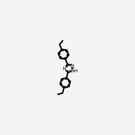 CCc1ccc(-c2n[nH]c(-c3ccc(CC)cc3)n2)cc1